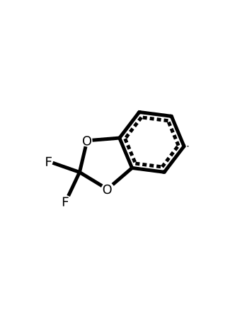 FC1(F)Oc2c[c]ccc2O1